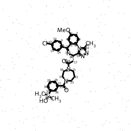 COc1ccc2c(c1)C(c1ccc(Cl)cc1)=N[C@@H](CC(=O)N1CCCN(C(=O)c3cccc([Si](C)(C)O)c3)CC1)c1nnc(C)n1-2